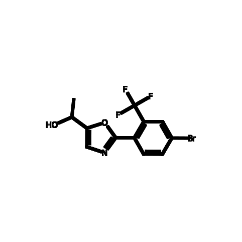 CC(O)c1cnc(-c2ccc(Br)cc2C(F)(F)F)o1